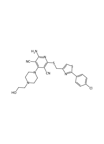 N#Cc1c(N)nc(SCc2csc(-c3ccc(Cl)cc3)n2)c(C#N)c1N1CCN(CCO)CC1